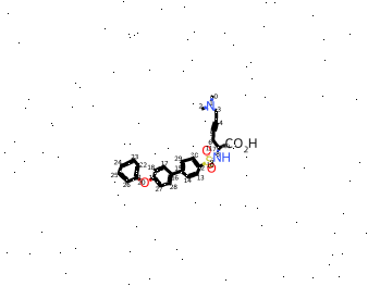 CN(C)CC#CCC(NS(=O)(=O)c1ccc(-c2ccc(Oc3ccccc3)cc2)cc1)C(=O)O